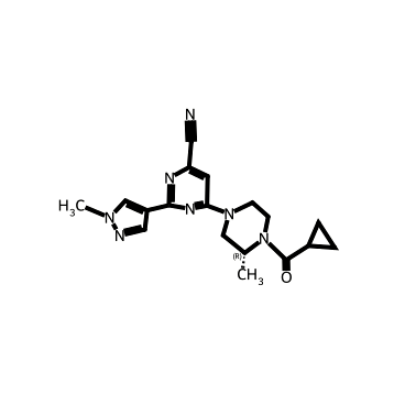 C[C@@H]1CN(c2cc(C#N)nc(-c3cnn(C)c3)n2)CCN1C(=O)C1CC1